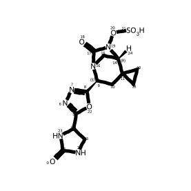 O=C1NCC(c2nnc([C@@H]3CC4(CC4)[C@@H]4CN3C(=O)N4OS(=O)(=O)O)o2)N1